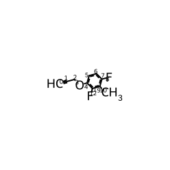 C#CCOc1ccc(F)c(C)c1F